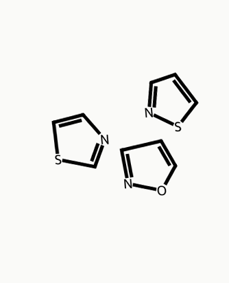 c1cnoc1.c1cnsc1.c1cscn1